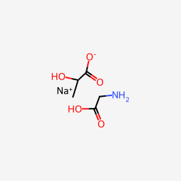 CC(O)C(=O)[O-].NCC(=O)O.[Na+]